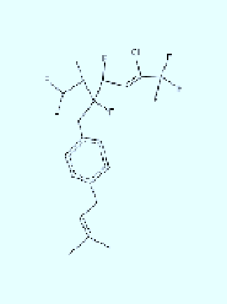 CC(C)=CCc1ccc(CC2(F)C(F)(C=C(Cl)C(F)(F)F)C2(C)C(F)F)cc1